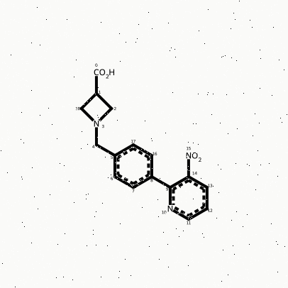 O=C(O)C1CN(Cc2ccc(-c3ncccc3[N+](=O)[O-])cc2)C1